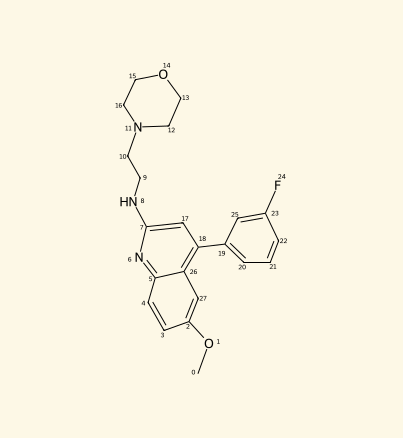 COc1ccc2nc(NCCN3CCOCC3)cc(-c3cccc(F)c3)c2c1